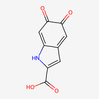 O=C1C=c2cc(C(=O)O)[nH]c2=CC1=O